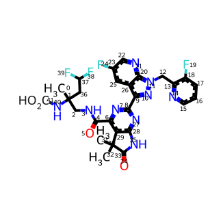 CC(CNC(=O)c1nc(-c2nn(Cc3ncccc3F)c3ncc(F)cc23)nc2c1C(C)(C)C(=O)N2)(CC(F)F)NC(=O)O